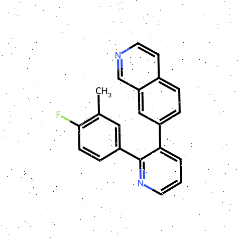 Cc1cc(-c2ncccc2-c2ccc3ccncc3c2)ccc1F